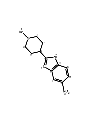 CC(=O)N1CCC(c2nc3cc([N+](=O)[O-])ccc3[nH]2)CC1